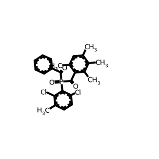 Cc1cc(C)c(C(=O)P(=O)(C(=O)c2ccccc2)c2c(Cl)ccc(C)c2Cl)c(C)c1C